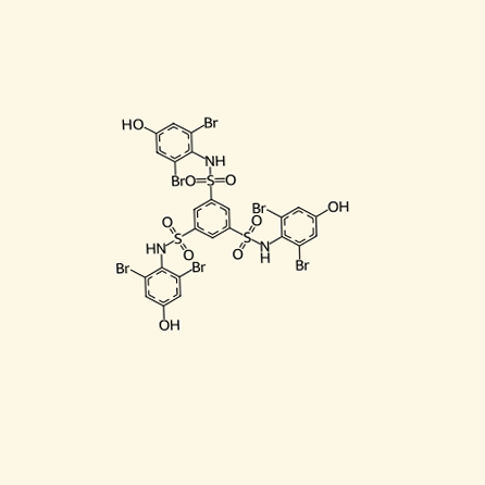 O=S(=O)(Nc1c(Br)cc(O)cc1Br)c1cc(S(=O)(=O)Nc2c(Br)cc(O)cc2Br)cc(S(=O)(=O)Nc2c(Br)cc(O)cc2Br)c1